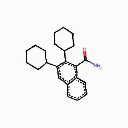 NC(=O)c1c(C2CCCCC2)c(C2CCCCC2)cc2ccccc12